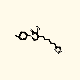 COc1c(CCCCCc2c[nH]nn2)ccn(-c2ccc(C)cc2)c1=S